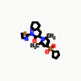 C=C1C=C(S(=O)(=O)C2CCCC2)C=C(C)N1C(CC1CCCCC1)C(=O)Nc1nccs1